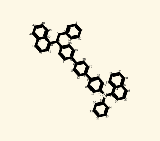 c1ccc(CC(c2ccc(-c3ccc(-c4ccc(N(c5ccccc5)c5cccc6ccccc56)cc4)cc3)cc2)c2cccc3ccccc23)cc1